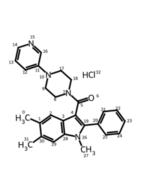 Cc1cc2c(C(=O)N3CCN(c4cccnc4)CC3)c(-c3ccccc3)n(C)c2cc1C.Cl